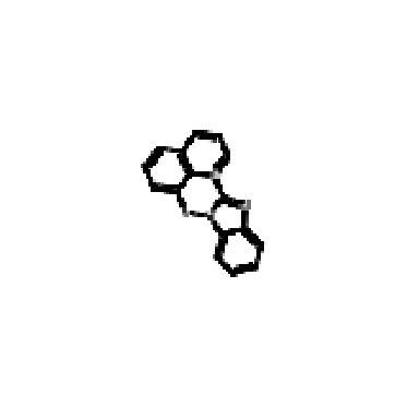 c1ccc2c(c1)nc1n2sc2cccc3ccc[n+]1c32